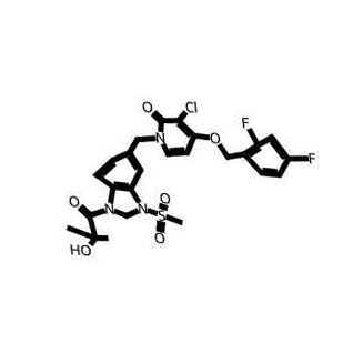 CC(C)(O)C(=O)N1CN(S(C)(=O)=O)c2cc(Cn3ccc(OCc4ccc(F)cc4F)c(Cl)c3=O)ccc21